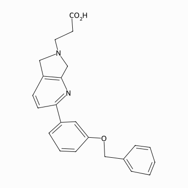 O=C(O)CCN1Cc2ccc(-c3cccc(OCc4ccccc4)c3)nc2C1